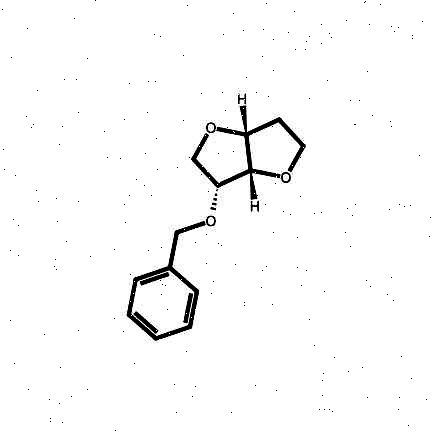 c1ccc(CO[C@@H]2CO[C@@H]3CCO[C@@H]32)cc1